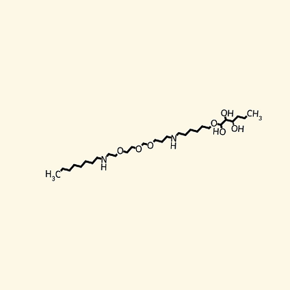 CCCCCCCCNCCOCCOCOCCCNCCCCCCOC(O)C(O)[C@H](O)CCC